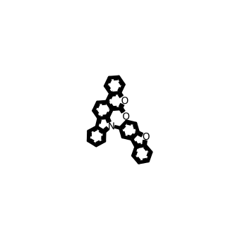 O=c1oc2ccccc2c2ccc3c4ccccc4n(-c4ccc5oc6ccccc6c5c4)c3c12